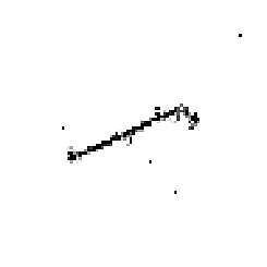 CC(=O)OCCCCCCCCCCOC(=O)CCCCCCCCC(O)COC(=O)C[N+](C)(C)CCOC(C)=O